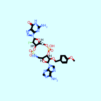 COc1ccc(COC2[C@H](n3cnc4c(N)ncnc43)O[C@@H]3CNS(=O)(=O)O[C@H]4[C@@H](F)[C@H](n5nnc6c(=O)[nH]c(N)nc65)O[C@@H]4COP(=O)(O)O[C@@H]23)cc1